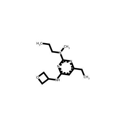 CCCN(C)c1nc(CC)cc(NC2COC2)n1